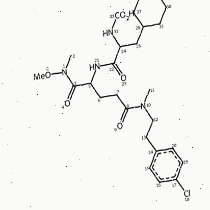 CON(C)C(=O)C(CCC(=O)N(C)CCc1ccc(Cl)cc1)NC(=O)C(CC1CCCCC1)NC(=O)O